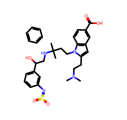 CN(C)CCc1cc2cc(C(=O)O)ccc2n1CCC(C)(C)NCC(O)c1cccc(N=S(=O)=O)c1.c1ccccc1